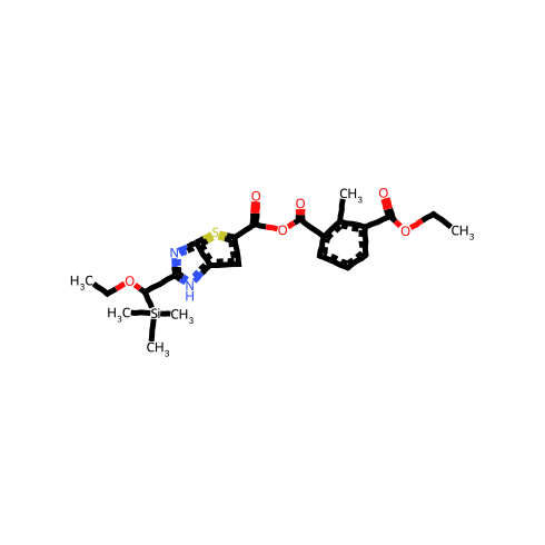 CCOC(=O)c1cccc(C(=O)OC(=O)c2cc3[nH]c(C(OCC)[Si](C)(C)C)nc3s2)c1C